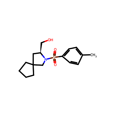 Cc1ccc(S(=O)(=O)N2CC3(CCCC3)C[C@H]2CO)cc1